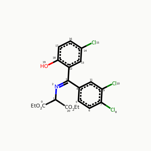 CCOC(=O)C(N=C(c1ccc(Cl)c(Cl)c1)c1cc(Cl)ccc1O)C(=O)OCC